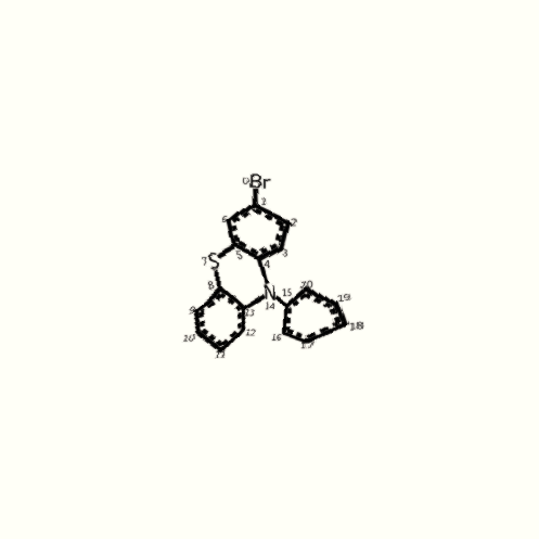 Brc1ccc2c(c1)Sc1ccccc1N2c1ccccc1